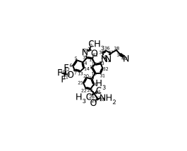 Cc1nc(-c2ccc(OC(F)(F)F)cc2)c(-c2cc(-c3cccc(C(C)(C)C(N)=O)c3)ccc2-n2ccc(CC#N)n2)o1